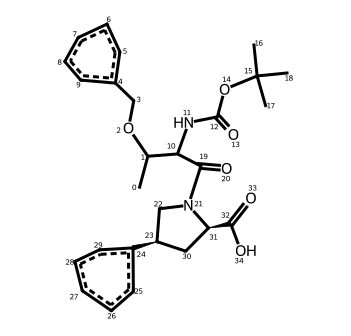 CC(OCc1ccccc1)C(NC(=O)OC(C)(C)C)C(=O)N1C[C@H](c2ccccc2)C[C@@H]1C(=O)O